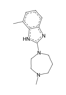 Cc1cccc2nc(N3CCCN(C)CC3)[nH]c12